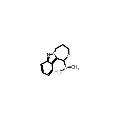 CN(C)C1OCCCn2nc3ccccc3c21